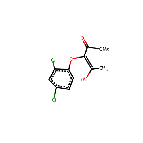 COC(=O)C(Oc1ccc(Cl)cc1Cl)=C(C)O